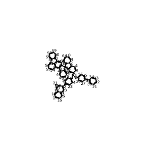 C1=CC2c3ccc(N(c4ccc(C5=Cc6ccccc6C6CC56)cc4)c4ccc(-c5ccccc5)cc4)cc3C3(c4ccccc4-c4c3cc3c5c(cccc45)-c4ccccc4-3)C2C=C1